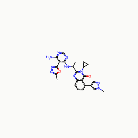 Cc1nnc(-c2c(N)ncnc2NC(C)c2nc3cccc(-c4cnn(C)c4)c3c(=O)n2C2CC2)o1